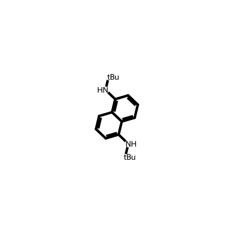 CC(C)(C)Nc1cccc2c(NC(C)(C)C)cccc12